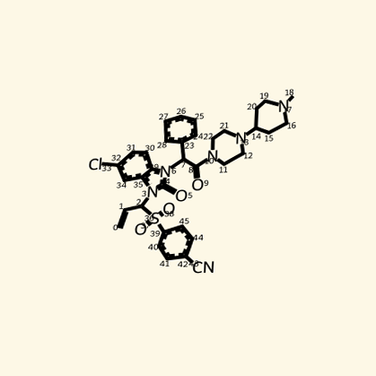 C=CC(n1c(=O)n(C(C(=O)N2CCN(C3CCN(C)CC3)CC2)c2ccccc2)c2ccc(Cl)cc21)S(=O)(=O)c1ccc(C#N)cc1